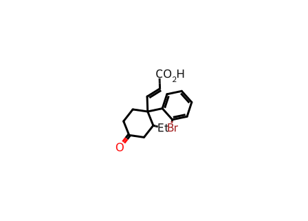 CCC1CC(=O)CCC1(C=CC(=O)O)c1ccccc1Br